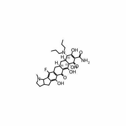 CCCN(CCC)[C@@H]1C(O)=C(C(N)=O)C(=O)[C@@]2(O)C(O)=C3C(=O)c4c(O)c5c(c(F)c4C[C@H]3C[C@@H]12)C1C(CCN1C)C5